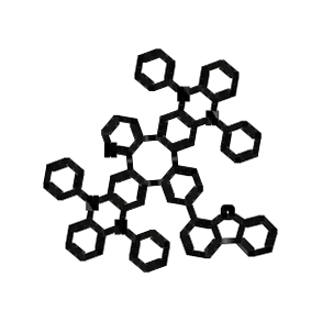 c1ccc(-n2c3ccccc3n(-c3ccccc3)c3cc4c(cc32)c2ccc(-c3cccc5c3oc3ccccc35)cc2c2cc3c(cc2c2ncccc42)n(-c2ccccc2)c2ccccc2n3-c2ccccc2)cc1